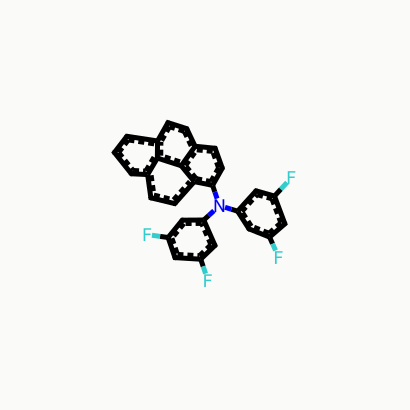 Fc1cc(F)cc(N(c2cc(F)cc(F)c2)c2ccc3ccc4cccc5ccc2c3c45)c1